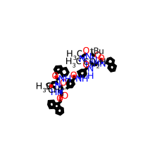 C[C@@H](C(=O)N[C@H](C(=O)N1C[C@@H](NC(=O)c2ccc(NC(=O)c3ccc(C[C@H](NC(=O)OCC4c5ccccc5-c5ccccc54)C(=O)N4C[Si](C)(C)C[C@H]4C(=O)N[C@@H]4CCCc5ccccc54)cc3)cc2)C[C@H]1C(=O)N[C@@H]1CCCc2ccccc21)C(C)(C)C)N(C)C(=O)O